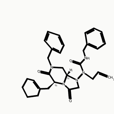 C=CCN(C(=O)NCc1ccccc1)N1CC(=O)N2[C@@H](CC3=CCCCC3)C(=O)N(Cc3ccccc3)C[C@@H]21